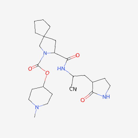 CN1CCC(OC(=O)N2CC3(CCCC3)CC2C(=O)NC(C#N)CC2CCNC2=O)CC1